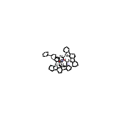 C1#CC/C=C(n2c3ccccc3c3ccc4c5ccccc5n(-c5nc(C6=CC=C(c7ccccc7)CC6)nc(-n6c7ccccc7c7ccc8c9ccccc9n(-c9ccccc9)c8c76)n5)c4c32)\C=C/C1